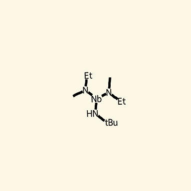 CC[N](C)[Nb]([NH]C(C)(C)C)[N](C)CC